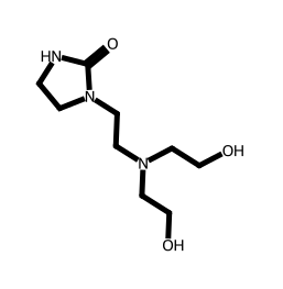 O=C1NCCN1CCN(CCO)CCO